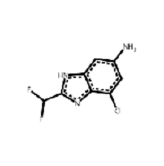 Nc1cc(Cl)c2nc(C(F)F)[nH]c2c1